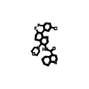 O=C(Nc1cnc2c(-c3cc(Cl)ccc3F)c(F)ccc2c1N1CCOCC1)c1ccnc2ccccc12